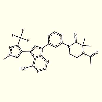 CC(=O)N1CCN(c2cccc(-c3cc(-c4cn(C)nc4C(F)(F)F)c4c(N)ncnn34)c2)C(=O)C1(C)C